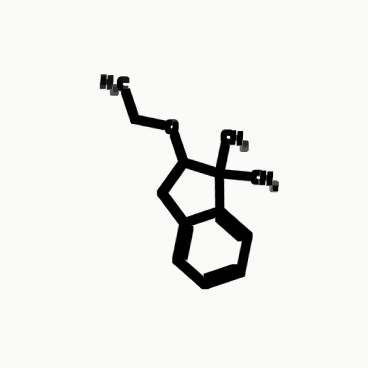 CCOC1Cc2ccccc2C1(C)C